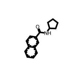 O=C(NC1CCCC1)c1ccc2ccccc2c1